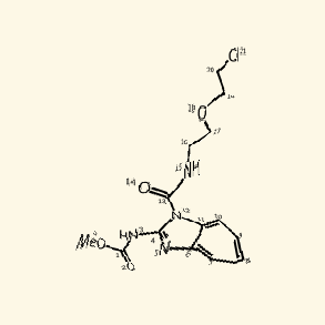 COC(=O)Nc1nc2ccccc2n1C(=O)NCCOCCCl